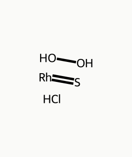 Cl.OO.[S]=[Rh]